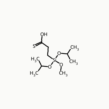 CO[Si](CCC(O)=S)(OC(C)C)OC(C)C